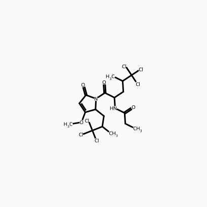 CCC(=O)NC(CC(C)C(Cl)(Cl)Cl)C(=O)N1C(=O)C=C(OC)C1CC(C)C(Cl)(Cl)Cl